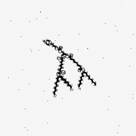 CCCCCCCCC(CCCCCCCC)OC(=O)CCCCCCC(=O)OCC(COC(=O)CCCCCCC(=O)OC(CCCCCCCC)CCCCCCCC)COC(=O)OCCCN1CCN(C)CC1